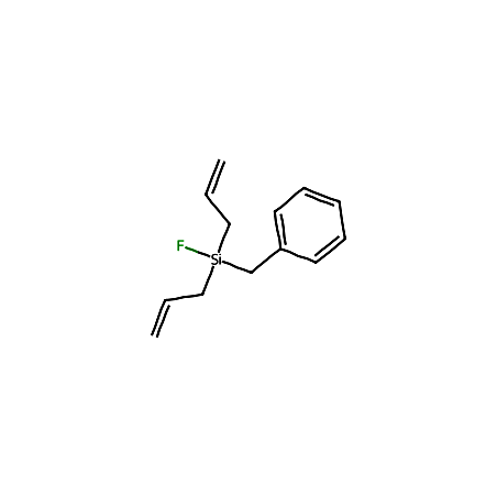 C=CC[Si](F)(CC=C)Cc1ccccc1